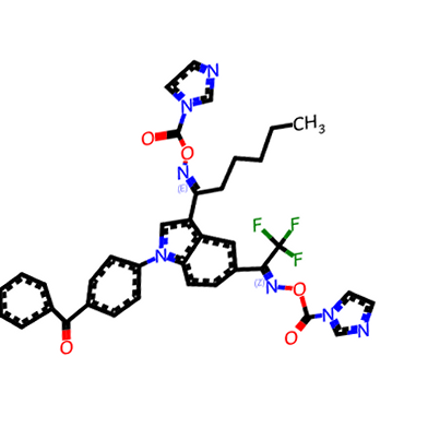 CCCCC/C(=N\OC(=O)n1ccnc1)c1cn(-c2ccc(C(=O)c3ccccc3)cc2)c2ccc(/C(=N/OC(=O)n3ccnc3)C(F)(F)F)cc12